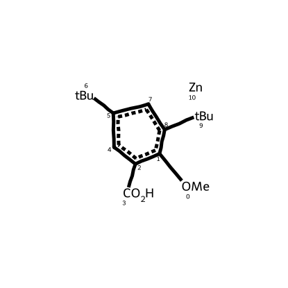 COc1c(C(=O)O)cc(C(C)(C)C)cc1C(C)(C)C.[Zn]